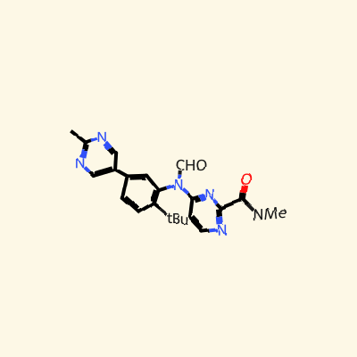 CNC(=O)c1nccc(N(C=O)c2cc(-c3cnc(C)nc3)ccc2C(C)(C)C)n1